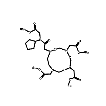 CC(C)(C)OC(=O)CN1CCN(CC(=O)OC(C)(C)C)CCN(CC(=O)N(CC(=O)OC(C)(C)C)C2CCCC2)CCN(CC(=O)OC(C)(C)C)CC1